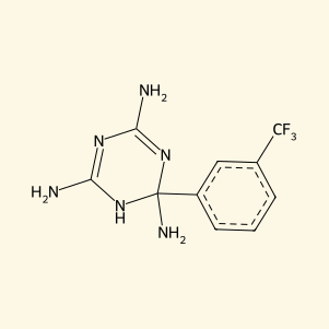 NC1=NC(N)(c2cccc(C(F)(F)F)c2)NC(N)=N1